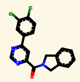 O=C(c1cc(-c2ccc(Cl)c(Cl)c2)ncn1)N1Cc2ccccc2C1